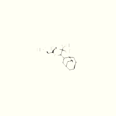 C=CC(=O)OC(C1CC2CC3CCC1C(C3)C2)C(O)(C(F)(F)F)C(F)(F)F